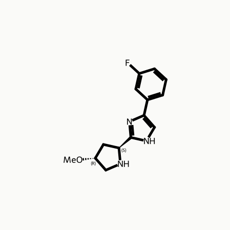 CO[C@H]1CN[C@H](c2nc(-c3cccc(F)c3)c[nH]2)C1